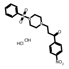 Cl.Cl.O=C(CCN1CCN(S(=O)(=O)c2ccccc2)CC1)c1ccc([N+](=O)[O-])cc1